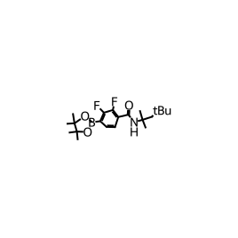 CC(C)(C)CC(C)(C)NC(=O)c1ccc(B2OC(C)(C)C(C)(C)O2)c(F)c1F